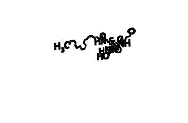 CC/C=C\C/C=C\C/C=C\C/C=C\C/C=C\CCCC(=O)NCCSSCC(NC(=O)CCCc1ccccc1)C(=O)NCC(O)CO